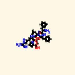 CC(C)C[C@@H](NC(=O)[C@@H](Cc1ccccc1)NC(=O)[C@H](N)Cc1ccccc1)C(=O)N[C@H](CCCCNC(=N)N)C(=O)N1CCC[C@H]1C(=O)O